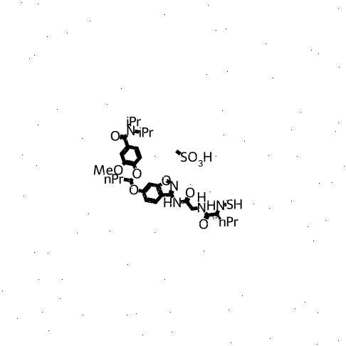 CCCC(Oc1ccc2c(NC(=O)CNC(=O)[C@H](CCC)NS)noc2c1)Oc1ccc(C(=O)N(C(C)C)C(C)C)cc1OC.CS(=O)(=O)O